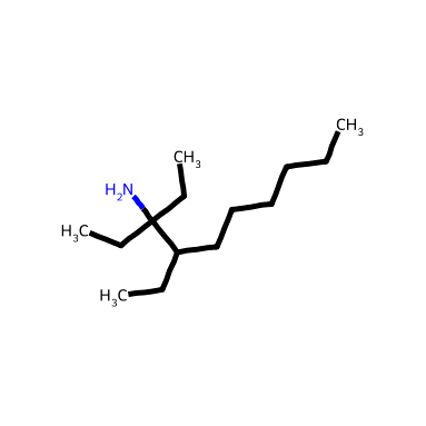 CCCCCCC(CC)C(N)(CC)CC